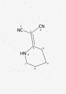 N#CC(C#N)=C1CCCCN1